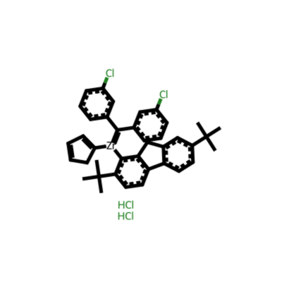 CC(C)(C)c1ccc2c(c1)Cc1c-2ccc(C(C)(C)C)[c]1[Zr]([C]1=CC=CC1)=[C](c1cccc(Cl)c1)c1cccc(Cl)c1.Cl.Cl